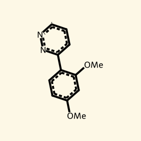 COc1ccc(-c2cc[c]nn2)c(OC)c1